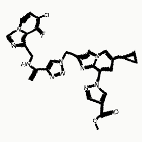 C=C(NCc1ncn2ccc(Cl)c(F)c12)c1cn(Cc2cn3cc(C4CC4)cc(-n4cc(C(=O)OC)cn4)c3n2)nn1